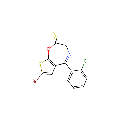 S=C1CN=C(c2ccccc2Cl)c2cc(Br)sc2O1